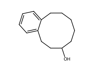 OC1CCCCCc2ccccc2CC1